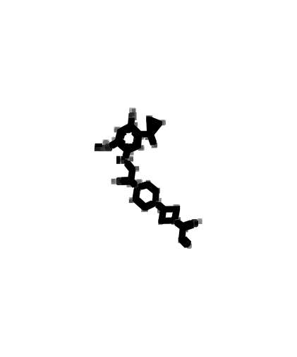 C=CC(=O)N1CC(N2CCN(C(=O)CNc3cc(C4(C)CC4)c(Cl)cc3OC)CC2)C1